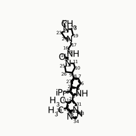 Cc1c(-c2[nH]c3ccc(C4CCN(C(=O)NCCN5CCN(C)CC5)CC4)cc3c2C(C)C)cn2ncnc2c1C